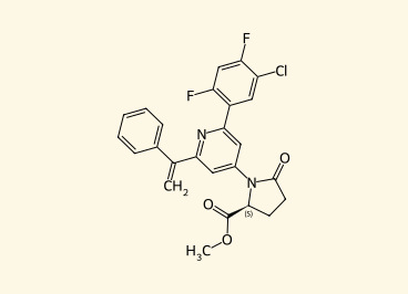 C=C(c1ccccc1)c1cc(N2C(=O)CC[C@H]2C(=O)OC)cc(-c2cc(Cl)c(F)cc2F)n1